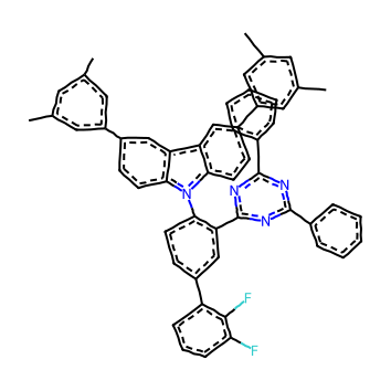 Cc1cc(C)cc(-c2ccc3c(c2)c2cc(-c4cc(C)cc(C)c4)ccc2n3-c2ccc(-c3cccc(F)c3F)cc2-c2nc(-c3ccccc3)nc(-c3ccccc3)n2)c1